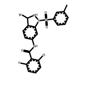 Cc1cccc(S(=O)(=O)N2NC(Br)c3ccc(NC(=O)c4c(F)cccc4Cl)cc32)c1